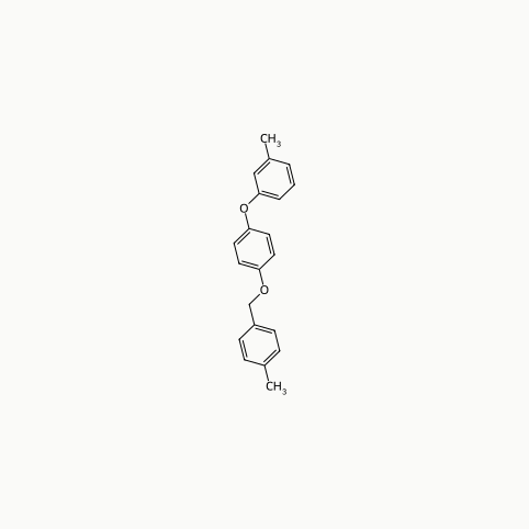 Cc1ccc(COc2ccc(Oc3cccc(C)c3)cc2)cc1